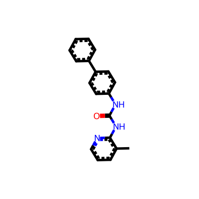 Cc1cccnc1NC(=O)Nc1ccc(-c2ccccc2)cc1